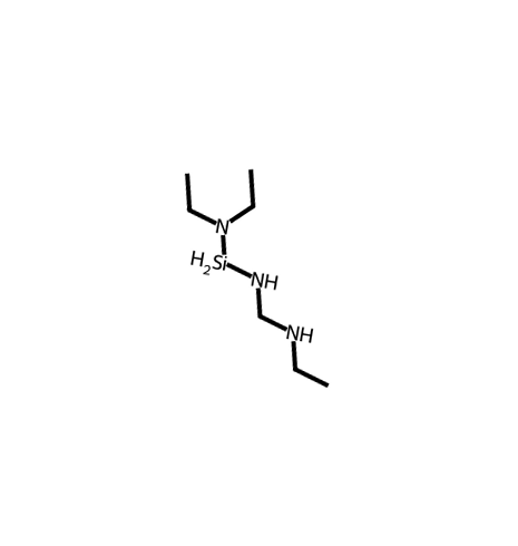 CCNCN[SiH2]N(CC)CC